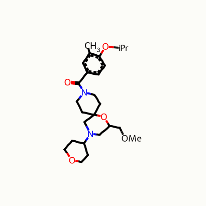 COCC1CN(C2CCOCC2)CC2(CCN(C(=O)c3ccc(OC(C)C)c(C)c3)CC2)O1